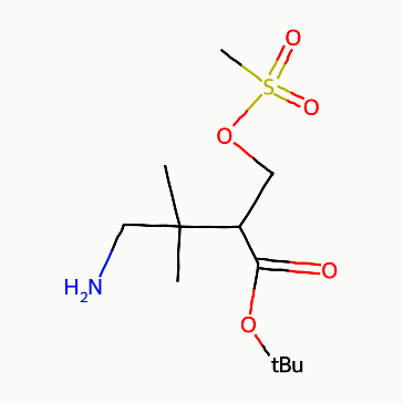 CC(C)(C)OC(=O)C(COS(C)(=O)=O)C(C)(C)CN